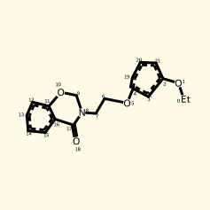 CCOc1[c]c(OCCN2COc3ccccc3C2=O)ccc1